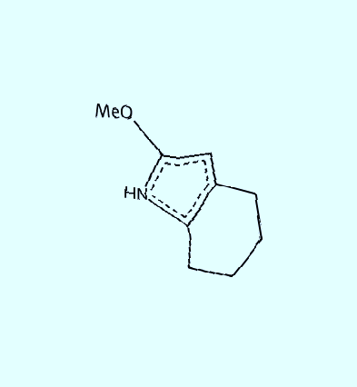 COc1cc2c([nH]1)CCCC2